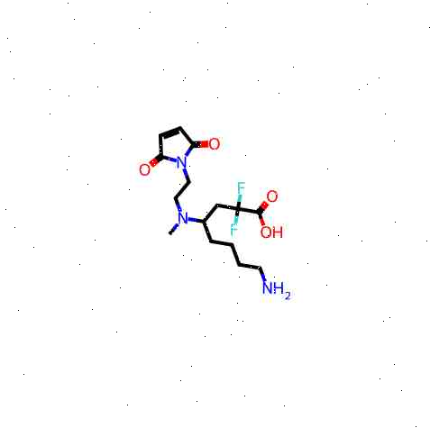 CN(CCN1C(=O)C=CC1=O)C(CCCCN)CC(F)(F)C(=O)O